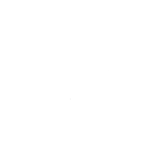 O=C(O[C@@H](c1ccccc1)[C@H](O)c1ccccc1)c1ccccc1